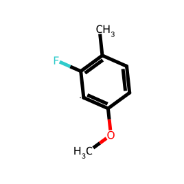 COc1[c]c(F)c(C)cc1